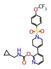 O=C(NCC1CC1)Oc1ncccc1C1=CCN(S(=O)(=O)c2ccc(OC(F)(F)F)cc2)CC1